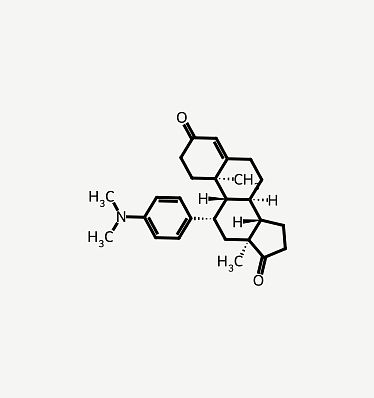 CN(C)c1ccc([C@H]2C[C@]3(C)C(=O)CC[C@H]3[C@@H]3CCC4=CC(=O)CC[C@]4(C)[C@H]32)cc1